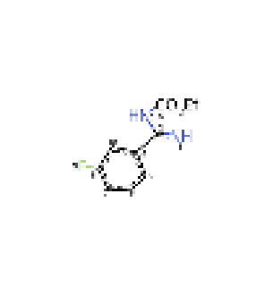 CCOC(=O)NC(=N)c1cc[c]c(F)c1